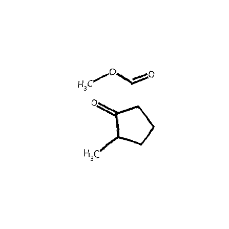 CC1CCCC1=O.COC=O